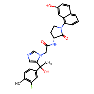 CC(O)(c1ccc(C#N)c(F)c1)c1cncn1CC(=O)N[C@@H]1CCN(c2cccc3ccc(O)cc23)C1=O